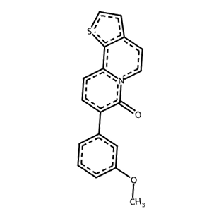 COc1cccc(-c2ccc3c4sccc4ccn3c2=O)c1